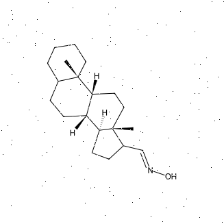 C[C@]12CCCCC1CC[C@@H]1[C@H]2CC[C@]2(C)C(C=NO)CC[C@@H]12